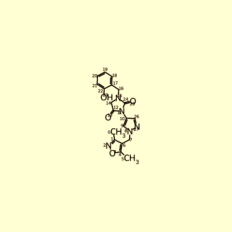 Cc1noc(C)c1Cn1cc(N2C(=O)CN(Cc3ccccc3O)C2=O)cn1